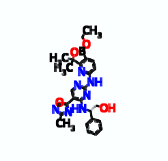 CCOB1OC(C)(C)c2nc(Nc3ncc(-c4nc(C)no4)c(N[C@H](CO)c4ccccc4)n3)ccc21